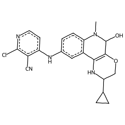 CN1c2ccc(Nc3ccnc(Cl)c3C#N)cc2C2=C(OCC(C3CC3)N2)C1O